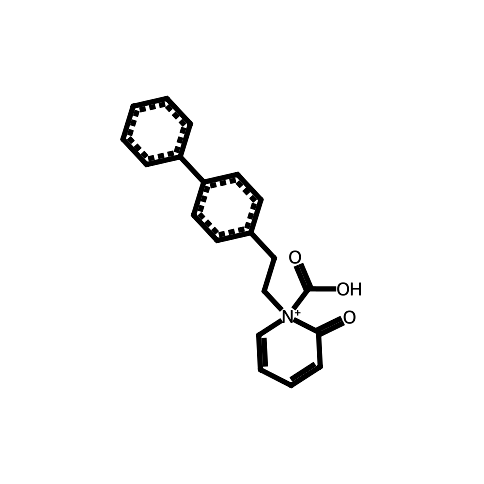 O=C(O)[N+]1(CCc2ccc(-c3ccccc3)cc2)C=CC=CC1=O